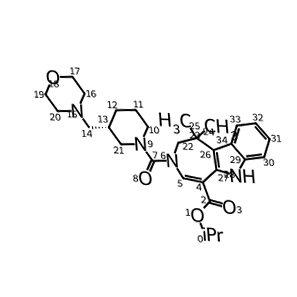 CC(C)OC(=O)C1=CN(C(=O)N2CCC[C@@H](CN3CCOCC3)C2)CC(C)(C)c2c1[nH]c1ccccc21